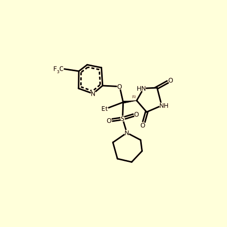 CCC(Oc1ccc(C(F)(F)F)cn1)([C@H]1NC(=O)NC1=O)S(=O)(=O)N1CCCCC1